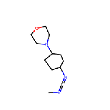 CN=C=NC1CCC(N2CCOCC2)CC1